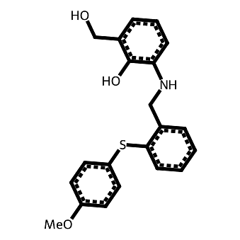 COc1ccc(Sc2ccccc2CNc2cccc(CO)c2O)cc1